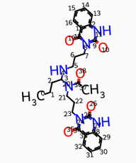 CCCC(NCCCn1c(=O)[nH]c2ccccc2c1=O)N(CCCn1c(=O)[nH]c2ccccc2c1=O)C(C)=O